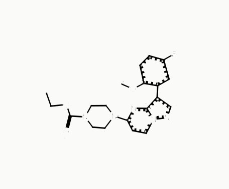 CCOC(=O)N1CCN(c2ccn3ncc(-c4cc(F)ccc4OC)c3n2)CC1